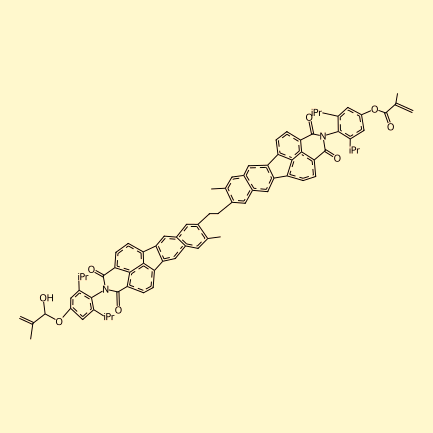 C=C(C)C(=O)Oc1cc(C(C)C)c(N2C(=O)c3ccc4c5c(ccc(c35)C2=O)-c2cc3cc(CCc5cc6cc7c(cc6cc5C)-c5ccc6c8c(ccc-7c58)C(=O)N(c5c(C(C)C)cc(OC(O)C(=C)C)cc5C(C)C)C6=O)c(C)cc3cc2-4)c(C(C)C)c1